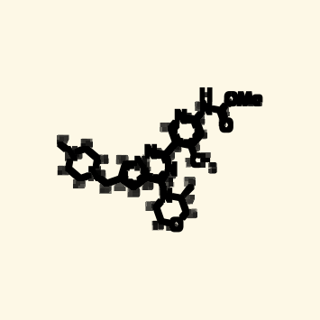 COC(=O)Nc1cc(C(F)(F)F)c(-c2nc(N3CCOC[C@@H]3C)c3cc(CN4CCN(C)CC4)cn3n2)cn1